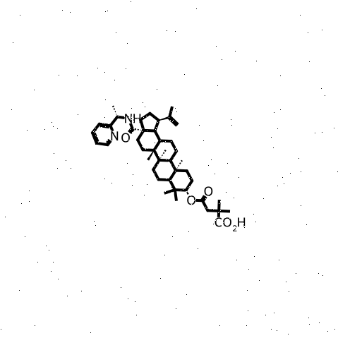 C=C(C)[C@@H]1CC[C@]2(C(=O)N[C@@H](C)c3ccccn3)CC[C@]3(C)C(CCC4[C@@]5(C)CC[C@H](OC(=O)CC(C)(C)C(=O)O)C(C)(C)C5CC[C@]43C)C12